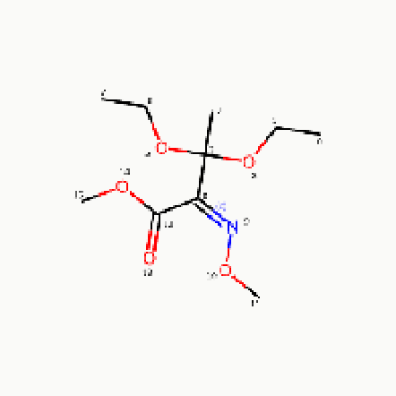 CCOC(C)(OCC)/C(=N/OC)C(=O)OC